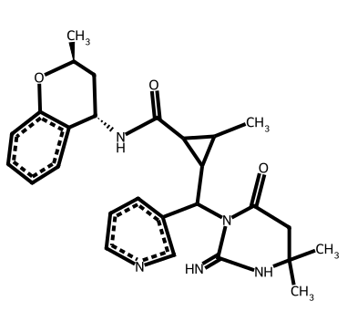 CC1C(C(=O)N[C@H]2C[C@H](C)Oc3ccccc32)C1C(c1cccnc1)N1C(=N)NC(C)(C)CC1=O